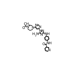 CC(=O)N1CCCN(c2cc(-n3nc(Nc4ccc(NC(=O)c5cccnc5)cc4)nc3N)ncn2)CC1